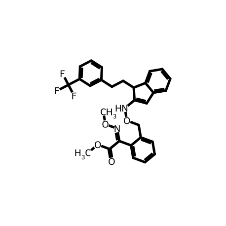 CON=C(C(=O)OC)c1ccccc1CONC1=Cc2ccccc2C1CCc1cccc(C(F)(F)F)c1